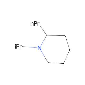 [CH2]CCC1CCCCN1C(C)C